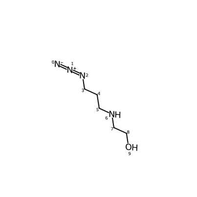 [N-]=[N+]=NCCCNCCO